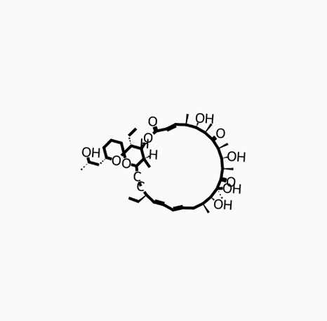 CC[C@@H]1/C=C/C=C/C[C@H](C)[C@@H](O)[C@](C)(O)C(=O)[C@H](C)[C@@H](O)[C@H](C)C(=O)[C@H](C)[C@@H](O)[C@H](C)/C=C/C(=O)O[C@@H]2[C@@H](CC)C3(CCC[C@@H](C[C@H](C)O)O3)OC(CC1)[C@@H]2C